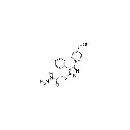 NNC(=O)CSc1nnc(-c2ccc(CO)cc2)n1-c1ccccc1